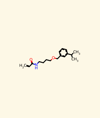 C=CC(=O)NCCCCOCc1cccc(C(C)C)c1